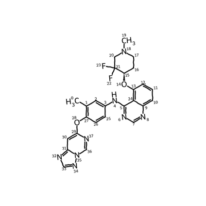 Cc1cc(Nc2ncnc3cc[c]c(O[C@@H]4CCN(C)CC4(F)F)c23)ccc1Oc1cc2ncnn2cn1